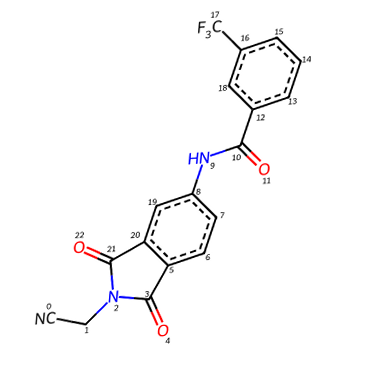 N#CCN1C(=O)c2ccc(NC(=O)c3cccc(C(F)(F)F)c3)cc2C1=O